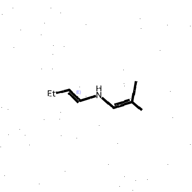 CC/C=C/NC=C(C)C